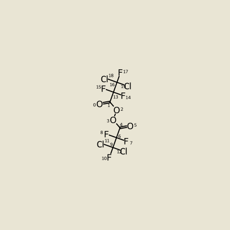 O=C(OOC(=O)C(F)(F)C(F)(Cl)Cl)C(F)(F)C(F)(Cl)Cl